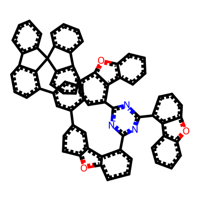 c1cc(-c2ccc3oc4cccc(-c5nc(-c6cccc7oc8ccccc8c67)nc(-c6cccc7oc8ccccc8c67)n5)c4c3c2)cc(-c2cccc3c2C2(c4ccccc4-c4ccccc42)c2ccccc2-3)c1